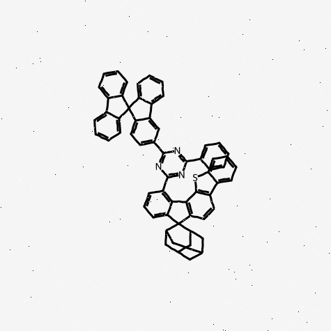 c1ccc(-c2nc(-c3ccc4c(c3)-c3ccccc3C43c4ccccc4-c4ccccc43)nc(-c3cccc4c3-c3c(ccc5c3sc3ccccc35)C43C4CC5CC(C4)CC3C5)n2)cc1